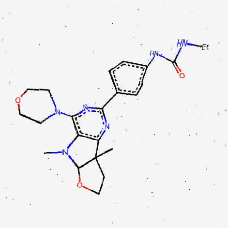 CCNC(=O)Nc1ccc(-c2nc(N3CCOCC3)c3c(n2)C2(C)CCOC2N3C)cc1